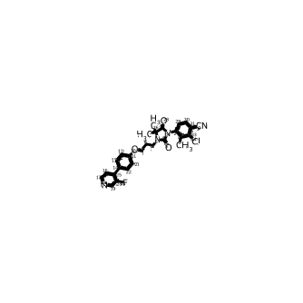 Cc1c(N2C(=O)N(CCCOc3ccc(-c4ccncc4F)cc3)C(C)(C)C2=O)ccc(C#N)c1Cl